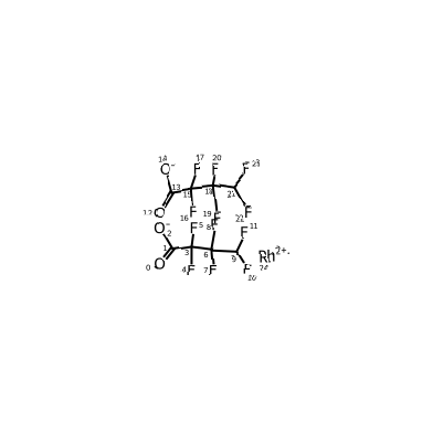 O=C([O-])C(F)(F)C(F)(F)C(F)F.O=C([O-])C(F)(F)C(F)(F)C(F)F.[Rh+2]